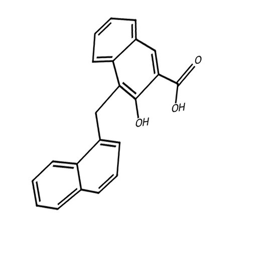 O=C(O)c1cc2ccccc2c(Cc2cccc3ccccc23)c1O